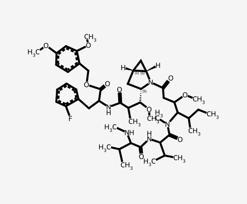 CCC(C)C(C(CC(=O)N1[C@H](C(OC)C(C)C(=O)NC(Cc2ccccc2F)C(=O)OCc2ccc(OC)cc2OC)C[C@@H]2C[C@@H]21)OC)N(C)C(=O)C(NC(=O)C(NC)C(C)C)C(C)C